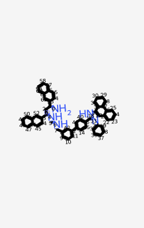 NC(/C=C(\NCNCc1cccc(-c2ccc(C3Nc4c(c5ccccc5c5ccccc45)N3c3ccccc3)cc2)c1)c1ccc2ccccc2c1)c1ccc2ccccc2c1